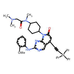 COc1ccccc1Nc1ncc2c(C#C[Si](C(C)C)(C(C)C)C(C)C)cc(=O)n(C3CCC(N(C)C(=O)CN(C)C)CC3)c2n1